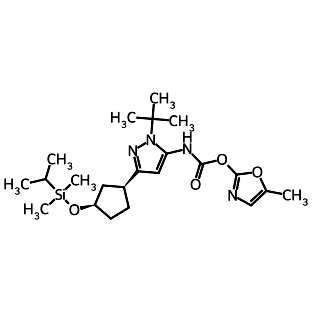 Cc1cnc(OC(=O)Nc2cc([C@H]3CC[C@@H](O[Si](C)(C)C(C)C)C3)nn2C(C)(C)C)o1